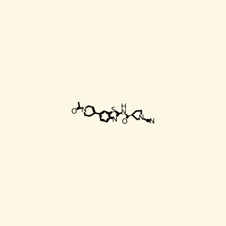 CC(=O)N1CC=C(c2ccc3nc(NC(=O)[C@H]4CCN(C#N)C4)sc3c2)CC1